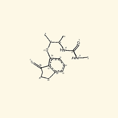 CNC(=O)NC(C)C(C)Oc1cccc2c1C(=O)CC2